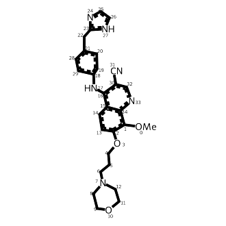 COc1c(OCCCN2CCOCC2)ccc2c(Nc3ccc(Cc4ncc[nH]4)cc3)c(C#N)cnc12